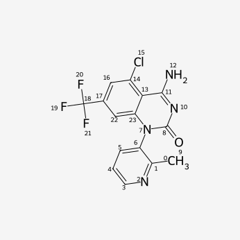 Cc1ncccc1-n1c(=O)nc(N)c2c(Cl)cc(C(F)(F)F)cc21